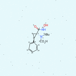 CC(C)(C)N(C(=O)O)[C@@]1(C(=O)NO)C[C@@H]1c1ccccc1